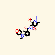 CCN(c1cccc(C(=O)NCC2=C(OC)C=C(C)NC2=C=O)c1C)C1CCOCC1